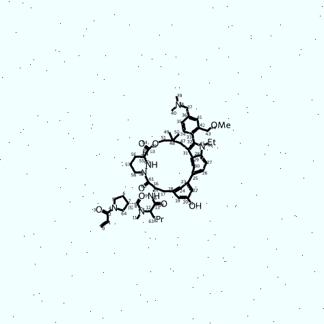 C=CC(=O)N1CC[C@H](C(=O)N(C)C(C(=O)N[C@H]2Cc3cc(O)cc(c3)-c3ccc4c(c3)c(c(-c3ccc(CN(C)C)cc3COC)n4CC)CC(C)(C)COC(=O)[C@@H]3CCCN(N3)C2=O)C(C)C)C1